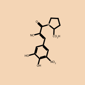 N#C/C(=C\c1cc(O)c(O)c([N+](=O)[O-])c1)C(=O)N1CCCC1C(=O)O